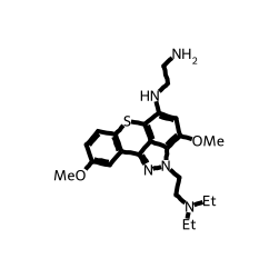 CCN(CC)CCn1nc2c3c(c(NCCN)cc(OC)c31)Sc1ccc(OC)cc1-2